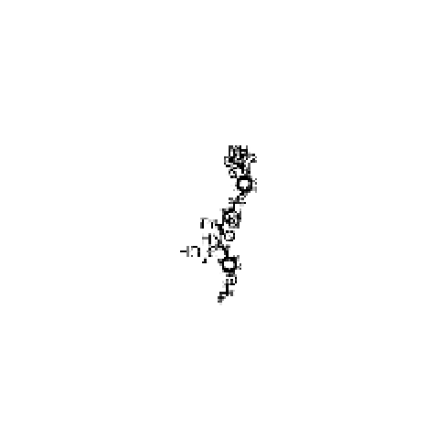 CC(C)C(C(=O)N[C@@H](Cc1ccc(OCCF)cc1)C(=O)O)n1cc(COc2ccc3nc(S(N)(=O)=O)sc3c2)nn1